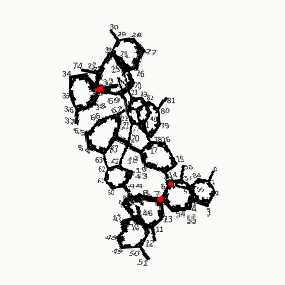 Cc1cccc(N(c2cccc(C)c2)c2ccc3c(c2)C2(c4cc(N(c5cccc(C)c5)c5cccc(C)c5)ccc4-3)c3cc(N(c4cccc(C)c4)c4cccc(C)c4)ccc3-c3cccc(N(c4cccc(C)c4)c4cccc(C)c4)c32)c1